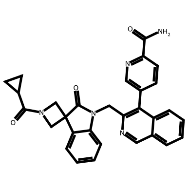 NC(=O)c1ccc(-c2c(CN3C(=O)C4(CN(C(=O)[C]5CC5)C4)c4ccccc43)ncc3ccccc23)cn1